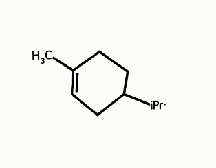 C[C](C)C1CC=C(C)CC1